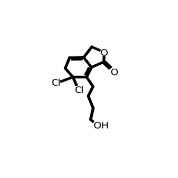 O=C1OCC2=CCC(Cl)(Cl)C(CCCCO)=C12